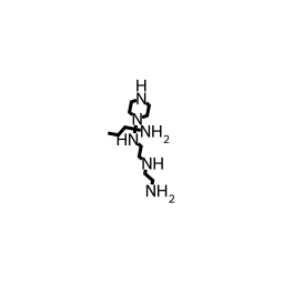 CCCC(N)(NCCNCCN)N1CCNCC1